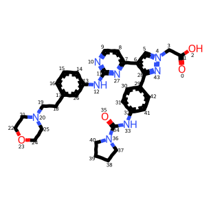 O=C(O)Cn1cc(-c2ccnc(Nc3cccc(CCN4CCOCC4)c3)n2)c(-c2ccc(NC(=O)N3CCCC3)cc2)n1